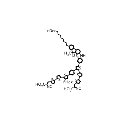 [C-]#[N+]/C(=C\c1ccc(-c2ccc(-c3sc(-c4ccc(-c5cc(-c6ccc(Nc7ccc8c(c7)C(C)(C)c7cc(CCCCCCCCCCCCCCCCCC)ccc7-8)cc6)sc5-c5ccc(-c6ccc(/C=C(\[N+]#[C-])C(=O)O)s6)s5)cc4)cc3CCCCCC)s2)s1)C(=O)O